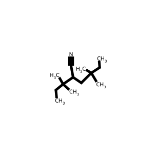 CCC(C)(C)CC(C#N)C(C)(C)CC